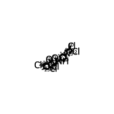 O=C(Nc1ccc(-n2cc(Cl)c(Cl)c2)cc1)N(Cl)C(=O)c1cc(Cl)ccc1Cl